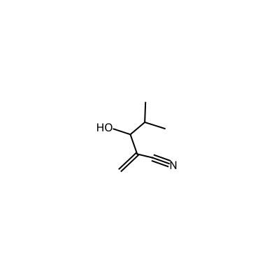 C=C(C#N)C(O)C(C)C